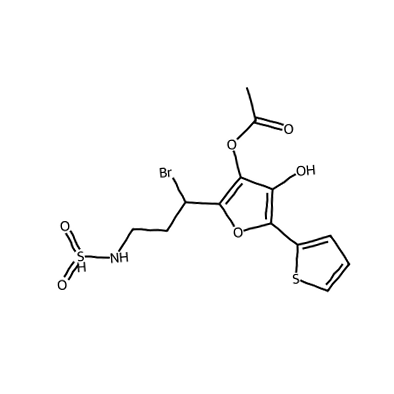 CC(=O)Oc1c(C(Br)CCN[SH](=O)=O)oc(-c2cccs2)c1O